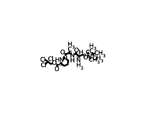 C[C@H](NC(=O)[C@@H](N)CO[Si](C)(C)C(C)(C)C)C(=O)N1CCC[C@@H](C(=O)OCC(Cl)(Cl)Cl)N1